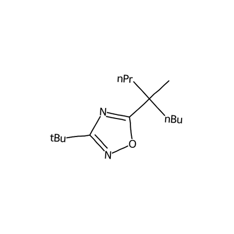 CCCCC(C)(CCC)c1nc(C(C)(C)C)no1